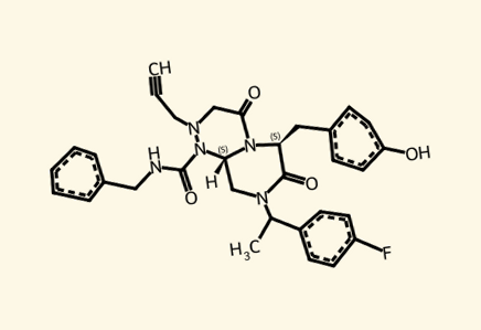 C#CCN1CC(=O)N2[C@@H](Cc3ccc(O)cc3)C(=O)N(C(C)c3ccc(F)cc3)C[C@@H]2N1C(=O)NCc1ccccc1